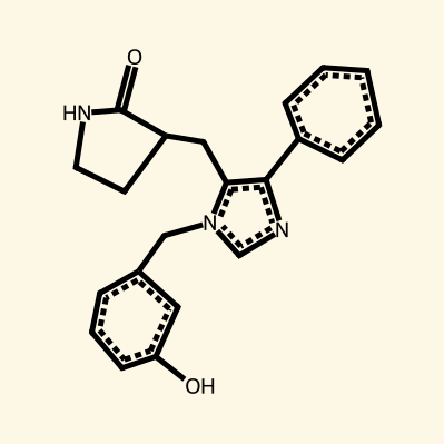 O=C1NCCC1Cc1c(-c2ccccc2)ncn1Cc1cccc(O)c1